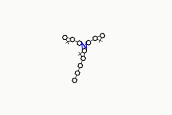 CC1(C)c2ccccc2-c2ccc(-c3ccc(N(c4ccc(-c5ccc6c(c5)C(C)(C)c5ccccc5-6)cc4)c4ccc5c(c4)C(C)(C)c4cc(-c6ccc(-c7ccc(-c8ccccc8)cc7)cc6)ccc4-5)cc3)cc21